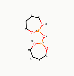 C1CCOP(OP2OCCCCO2)OC1